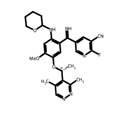 COc1cc(NC2CCCCO2)c(C(=N)c2cnc(F)c(C#N)c2)cc1O[C@H](C)c1c(C)cnnc1C